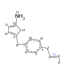 C/C=C/Cc1ccc(CC2=CC=C(N)C2)cc1